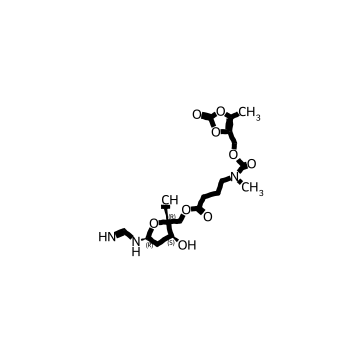 C#C[C@]1(COC(=O)CCCN(C)C(=O)OCc2oc(=O)oc2C)O[C@@H](NC=N)C[C@@H]1O